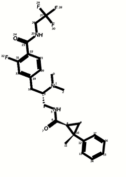 CN(C)[C@H](CNC(=O)[C@H]1C[C@]1(C)c1ccccc1)Cc1ccc(C(=O)NCC(F)(F)F)c(F)c1